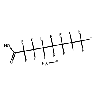 CF.O=C(O)C(F)(F)C(F)(F)C(F)(F)C(F)(F)C(F)(F)C(F)(F)C(F)(F)F